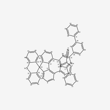 N#Cc1cccc(-c2cccc3c2-c2c(-c4nc(-c5ccccc5)nc(-c5cccc(-c6ccccc6)c5)n4)cccc2C32c3ccccc3Sc3ccccc32)c1